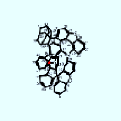 c1ccc2c(c1)Oc1ccc(N(c3cccc4c3sc3ccccc34)c3cccc4sc5ccc(C67CC8CC(CC(C8)C6)C7)cc5c34)cc1C21c2ccccc2-c2ccccc21